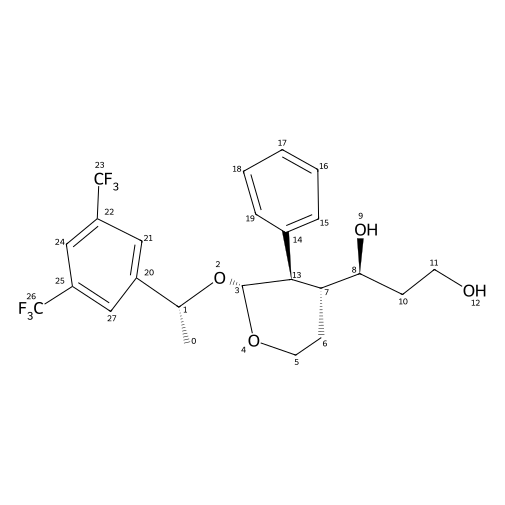 C[C@@H](O[C@H]1OCC[C@@H]([C@@H](O)CCO)[C@@H]1c1ccccc1)c1cc(C(F)(F)F)cc(C(F)(F)F)c1